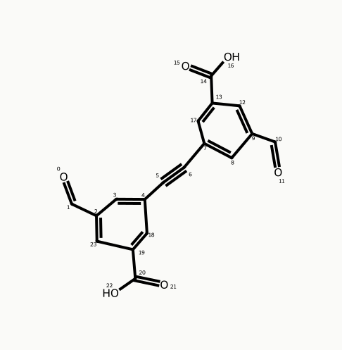 O=Cc1cc(C#Cc2cc(C=O)cc(C(=O)O)c2)cc(C(=O)O)c1